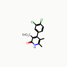 CCOC(=O)c1c(-c2ccc(Cl)c(Cl)c2)c(C)c(C)[nH]c1=O